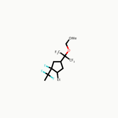 CCC1CC(C(OCOC)(C(F)(F)F)C(F)(F)F)CC1(F)C(C)(F)F